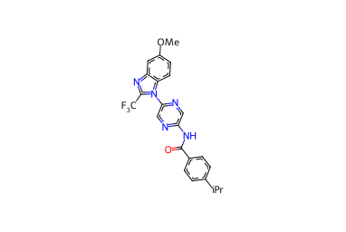 COc1ccc2c(c1)nc(C(F)(F)F)n2-c1cnc(NC(=O)c2ccc(C(C)C)cc2)cn1